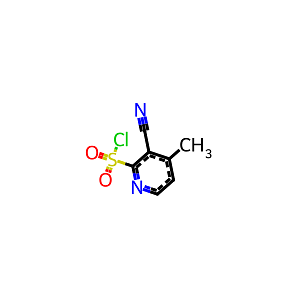 Cc1ccnc(S(=O)(=O)Cl)c1C#N